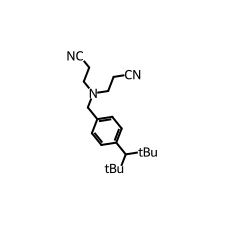 CC(C)(C)C(c1ccc(CN(CCC#N)CCC#N)cc1)C(C)(C)C